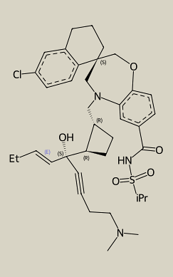 CC/C=C/[C@](O)(C#CCCN(C)C)[C@@H]1CC[C@H]1CN1C[C@@]2(CCCc3cc(Cl)ccc32)COc2ccc(C(=O)NS(=O)(=O)C(C)C)cc21